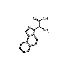 NC(C(=O)O)c1ncc2c3ccccc3ccn12